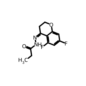 CCC(=O)N/N=C1/CCOc2cc(F)cc(F)c21